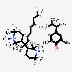 CCCCC(c1cc(C(C)(C)C)c(O)c(C(C)(C)C)c1)C(C(=O)O)C(=O)O.CN1C(C)(C)CCC(C(CCCCCCCC(=O)O)(C(=O)O)C2CCC(C)(C)N(C)C2(C)C)C1(C)C